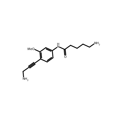 COc1cc(NC(=O)CCCCN)ccc1C#CCN